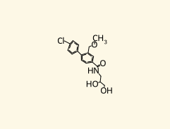 COCc1cc(C(=O)NCC(O)CO)ccc1-c1ccc(Cl)cc1